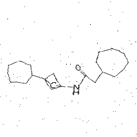 O=C(CC1CCCCCCC1)NC12CC(C3CCCCCC3)(C1)C2